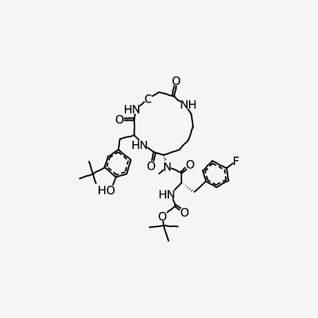 CN(C(=O)[C@H](Cc1ccc(F)cc1)NC(=O)OC(C)(C)C)[C@H]1CCCCNC(=O)CCNC(=O)C(Cc2ccc(O)c(C(C)(C)C)c2)NC1=O